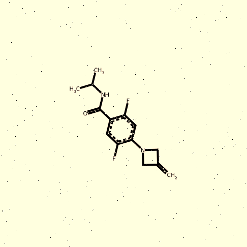 C=C1CN(c2cc(F)c(C(=O)NC(C)C)cc2F)C1